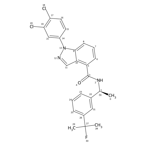 C[C@H](NC(=O)c1cccc2c1cnn2-c1ccc(Cl)c(Cl)c1)c1cccc(C(C)(C)F)c1